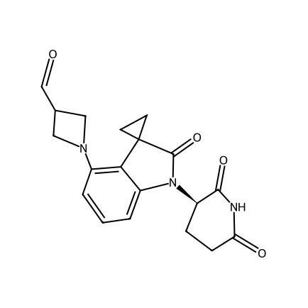 O=CC1CN(c2cccc3c2C2(CC2)C(=O)N3[C@@H]2CCC(=O)NC2=O)C1